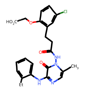 CCc1ccccc1Nc1ncc(C)n(NC(=O)CCc2cc(Cl)ccc2OCC(=O)O)c1=O